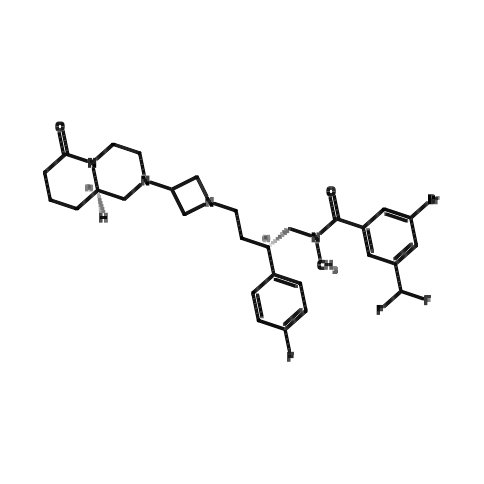 CN(C[C@@H](CCN1CC(N2CCN3C(=O)CCC[C@@H]3C2)C1)c1ccc(F)cc1)C(=O)c1cc(Br)cc(C(F)F)c1